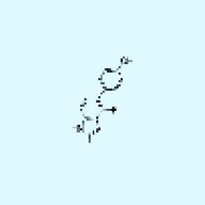 Cc1cc2c(F)c(-c3ccc(O)cc3)ccc2[nH]1